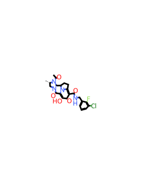 CC(=O)N1C2C3CCc4c(C(=O)NCc5cccc(Cl)c5F)c(=O)c(O)c(n43)C(=O)N2C[C@@H]1C